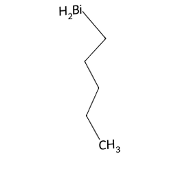 CCCC[CH2][BiH2]